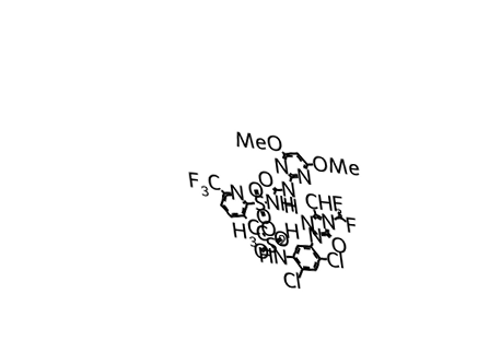 COc1cc(OC)nc(NC(=O)NS(=O)(=O)c2nc(C(F)(F)F)ccc2C(=O)O)n1.Cc1nn(-c2cc(NS(C)(=O)=O)c(Cl)cc2Cl)c(=O)n1C(F)F